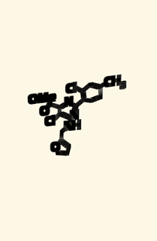 COC(=O)c1nc(-c2ccc(C)cc2Cl)nc(NCc2ccco2)c1Cl